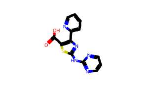 O=C(O)c1sc(Nc2ncccn2)nc1-c1ccccn1